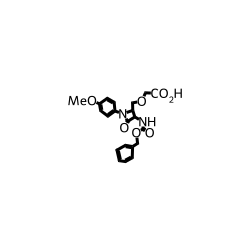 COc1ccc(N2C(=O)C(NC(=O)OCc3ccccc3)C2COCC(=O)O)cc1